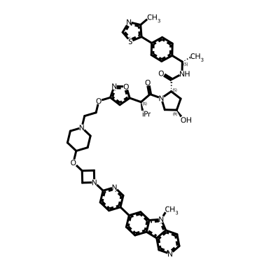 Cc1ncsc1-c1ccc([C@H](C)NC(=O)[C@@H]2C[C@@H](O)CN2C(=O)[C@H](c2cc(OCCN3CCC(OC4CN(c5ccc(-c6ccc7c8cnccc8n(C)c7c6)cn5)C4)CC3)no2)C(C)C)cc1